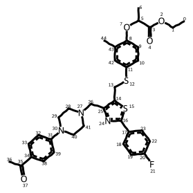 CCOC(=O)C(C)Oc1ccc(SCc2sc(-c3ccc(F)cc3)nc2CN2CCN(c3ccc(C(C)=O)cc3)CC2)cc1C